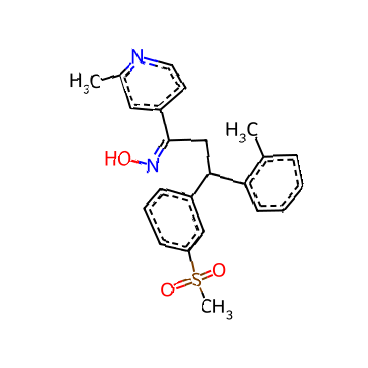 Cc1cc(C(CC(c2cccc(S(C)(=O)=O)c2)c2ccccc2C)=NO)ccn1